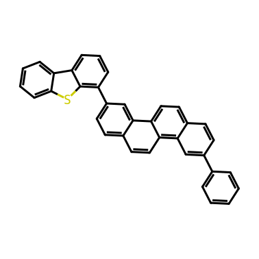 c1ccc(-c2ccc3ccc4c5cc(-c6cccc7c6sc6ccccc67)ccc5ccc4c3c2)cc1